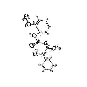 CCOc1ccccc1OC(=O)OC(C)N(CC)c1ccccc1